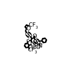 Cc1c(N2CCN(Cc3ccc(C(F)(F)F)o3)CC2)c(=O)n(CC(O[Si](C)(C)C(C)(C)C)c2ccccc2)c(=O)n1Cc1c(F)cccc1C(F)(F)F